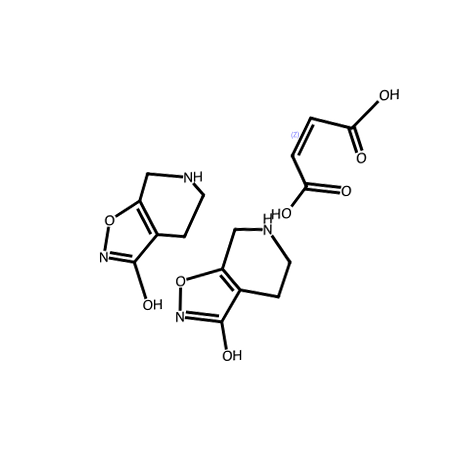 O=C(O)/C=C\C(=O)O.Oc1noc2c1CCNC2.Oc1noc2c1CCNC2